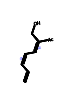 C=C/C=C\C=C(/CO)C(C)=O